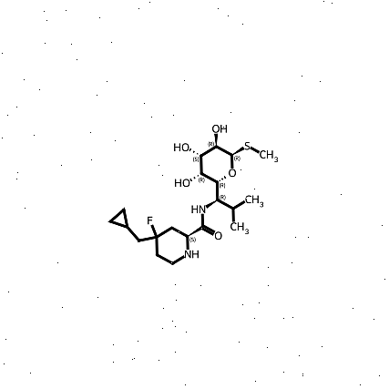 CS[C@H]1O[C@H]([C@H](NC(=O)[C@@H]2CC(F)(CC3CC3)CCN2)C(C)C)[C@H](O)[C@H](O)[C@H]1O